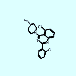 CC(=O)N1CCN(c2nc(-c3ccccc3Cl)nc3cccc(Cl)c23)CC1